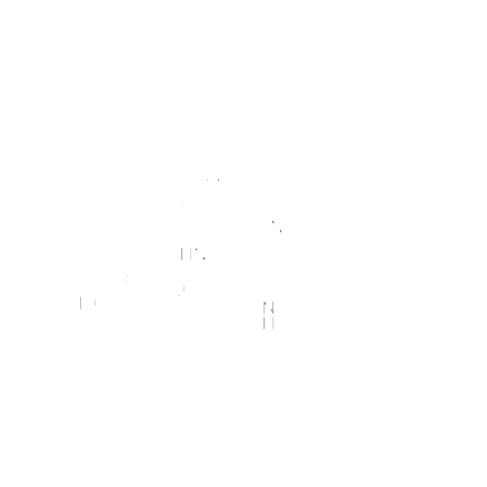 O=C(O)c1ccccc1C(=O)Nc1nc(-c2ccccc2)c[nH]1